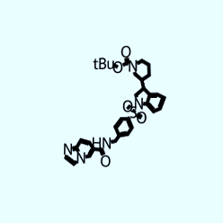 CC(C)(C)OC(=O)N1CCCC(C2CN(S(=O)(=O)c3ccc(CNC(=O)c4ccc5nccn5c4)cc3)c3ccccc32)C1